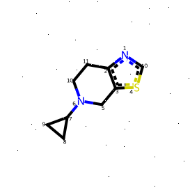 [c]1nc2c(s1)CN(C1CC1)CC2